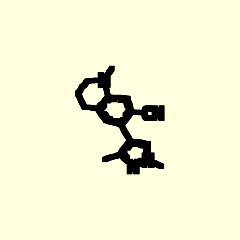 Cc1nn(C)cc1-c1cc2c(cc1C#N)N(C)CCC2